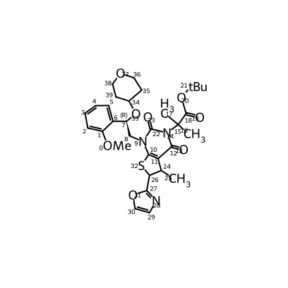 COc1ccccc1[C@H](Cn1c2c(c(=O)n(C(C)(C)C(=O)OC(C)(C)C)c1=O)C(C)C(c1ncco1)S2)OC1CCOCC1